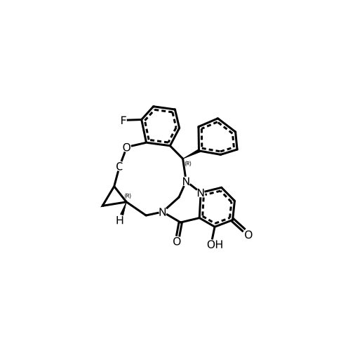 O=C1c2c(O)c(=O)ccn2N2CN1C[C@@H]1CC1COc1c(F)cccc1[C@H]2c1ccccc1